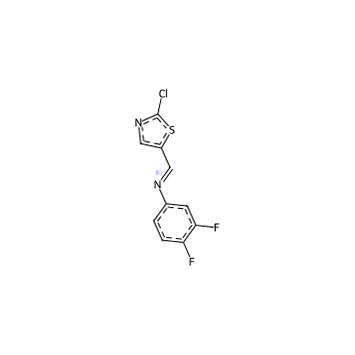 Fc1ccc(/N=C/c2cnc(Cl)s2)cc1F